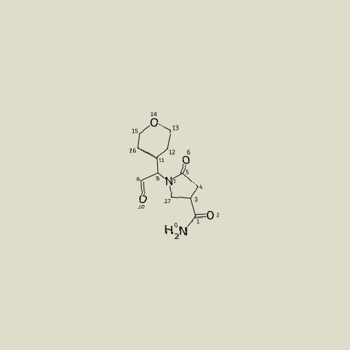 NC(=O)C1CC(=O)N(C(C=O)C2CCOCC2)C1